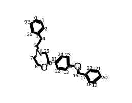 c1ccc(CCN2CCO[C@@H](c3ccc(OCc4ccccc4)cc3)C2)cc1